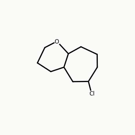 ClC1CCCC2OCCCC2C1